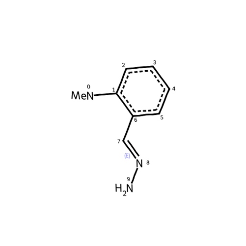 CNc1ccccc1/C=N/N